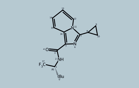 CC(C)(C)[C@@H](NC(=O)c1nc(C2CC2)n2ccccc12)C(F)(F)F